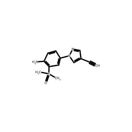 C#Cc1cnn(-c2ccc(N)c(P(C)(C)=O)c2)c1